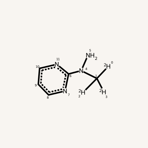 [2H]C([2H])([2H])N(N)c1ncccn1